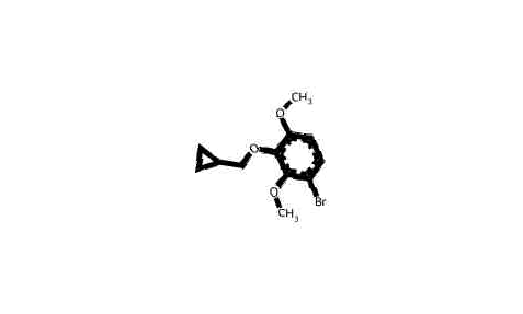 COc1c[c]c(Br)c(OC)c1OCC1CC1